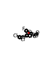 CS(=O)(=O)CC(=O)N1CC[C@@]2(S(=O)(=O)c3ccc(F)cc3)c3ccc(OCc4cc(Cl)ccc4Cl)cc3CC[C@@H]12